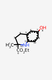 CCOC(=O)C1(C)CCc2cc(O)ccc2N1